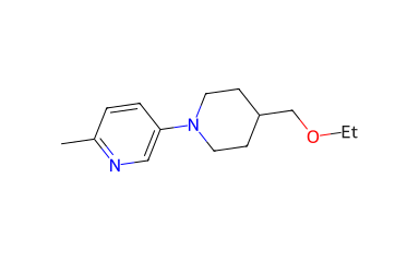 CCOCC1CCN(c2ccc(C)nc2)CC1